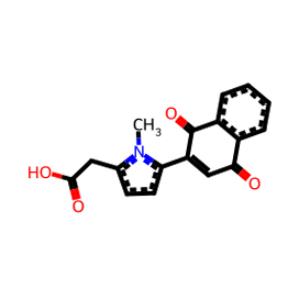 Cn1c(CC(=O)O)ccc1C1=CC(=O)c2ccccc2C1=O